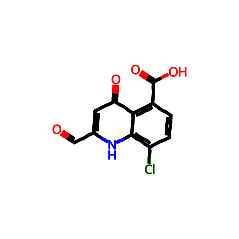 O=Cc1cc(=O)c2c(C(=O)O)ccc(Cl)c2[nH]1